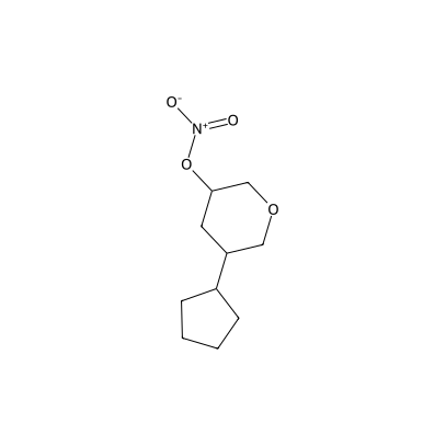 O=[N+]([O-])OC1COCC(C2CCCC2)C1